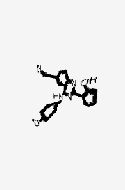 COc1ccc(CNc2nc(-c3ccccc3O)nc3ccc(C#N)cc23)cc1